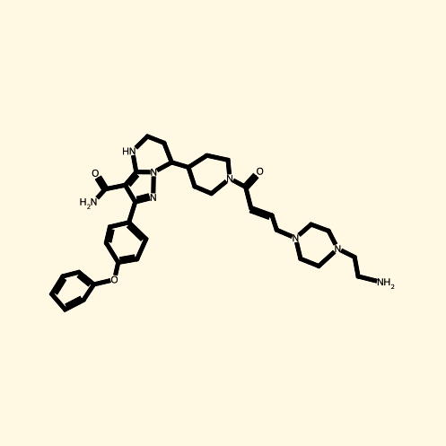 NCCN1CCN(C/C=C/C(=O)N2CCC(C3CCNc4c(C(N)=O)c(-c5ccc(Oc6ccccc6)cc5)nn43)CC2)CC1